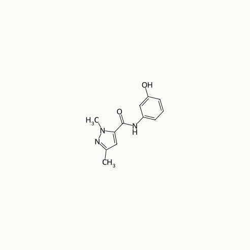 Cc1cc(C(=O)Nc2cccc(O)c2)n(C)n1